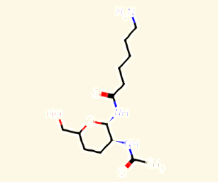 CC(=O)N[C@H]1CCC(CO)O[C@H]1NC(=O)CCCCCN